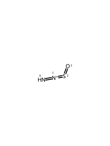 N=[N+]=S=O